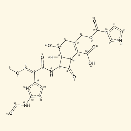 CO/N=C(/C(=O)NC1C(=O)N2C(C(=O)O)=C(COC(=O)n3ccnc3)C[S+]([O-])[C@H]12)c1csc(NC=O)n1